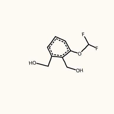 OCc1cccc(OC(F)F)c1CO